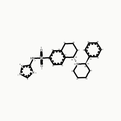 O=S(=O)(Nc1ncns1)c1ccc2c(c1)CCC[C@@H]2N1CCCC[C@@H]1c1ccccc1